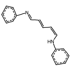 C(=C/Nc1ccccc1)/C=C/C=N/c1ccccc1